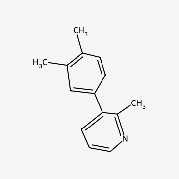 Cc1ccc(-c2cccnc2C)cc1C